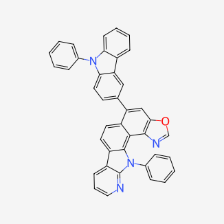 c1ccc(-n2c3ccccc3c3cc(-c4cc5ocnc5c5c4ccc4c6cccnc6n(-c6ccccc6)c45)ccc32)cc1